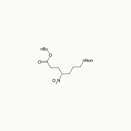 CCCCCCCCCCCCC(CCC(=O)OCCCC)[N+](=O)[O-]